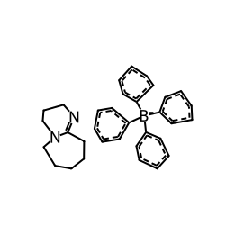 C1CCC2=NCCCN2CC1.c1ccc([B-](c2ccccc2)(c2ccccc2)c2ccccc2)cc1